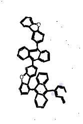 C=C/C=C(\C=C/C)c1c2ccccc2c(-c2cccc3oc4cc(-c5c6ccccc6c(-c6ccc7oc8ccccc8c7c6)c6ccccc56)ccc4c23)c2ccccc12